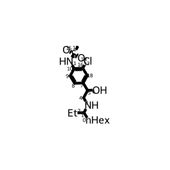 CCCCCCC(CC)NCC(O)c1ccc(NS(C)(=O)=O)c(Cl)c1